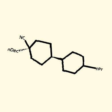 CCCCCCCCCC[C@]1(C#N)CC[C@@H](C2CCC(CCC)CC2)CC1